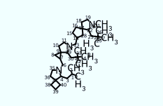 CC(C)CC1N(CC2CC23CCN(CC2CCC4(CCN(C)C4CC(C)(C)C)C2)C3CC(C)(C)C)CCC12CCC2